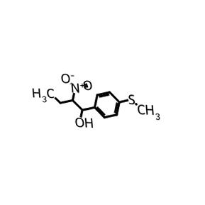 CCC(C(O)c1ccc(SC)cc1)[N+](=O)[O-]